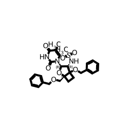 Cc1cn([C@@H]2O[C@@]3(COCc4ccccc4)CCC3(OCc3ccccc3)[C@H]2NS(C)(=O)=O)c(=O)[nH]c1=O